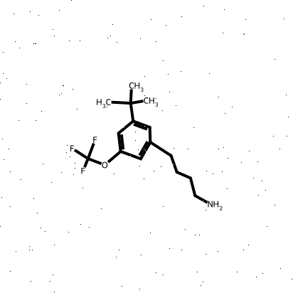 CC(C)(C)c1cc(CCCCN)cc(OC(F)(F)F)c1